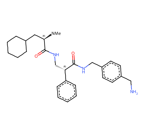 CN[C@H](CC1CCCCC1)C(=O)NC[C@H](C(=O)NCc1ccc(CN)cc1)c1ccccc1